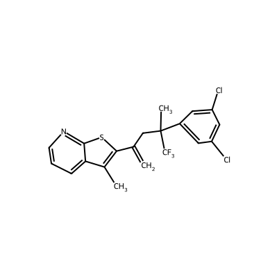 C=C(CC(C)(c1cc(Cl)cc(Cl)c1)C(F)(F)F)c1sc2ncccc2c1C